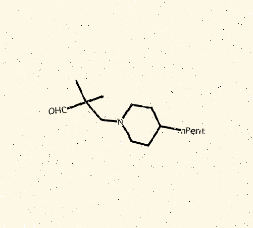 CCCCCC1CCN(CC(C)(C)C=O)CC1